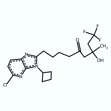 CC(O)(CC(=O)CCCCc1nc2ccc(Cl)nc2n1C1CCC1)CC(F)(F)F